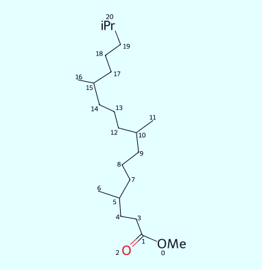 COC(=O)CCC(C)CCCC(C)CCCC(C)CCCC(C)C